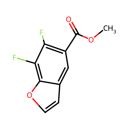 COC(=O)c1cc2ccoc2c(F)c1F